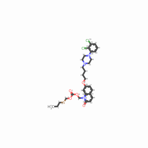 CCCSCOC(=O)OCn1c(=O)ccc2ccc(OCCCCN3CCN(c4cccc(Cl)c4Cl)CC3)cc21